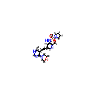 Cc1ncc(C#Cc2c(C)ncnc2N2CCOCC2)cc1NS(=O)(=O)N1CCCC1